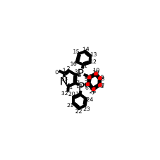 Cc1cc(P(c2ccccc2)c2ccccc2)c(P(c2ccccc2)c2ccccc2)c(C)n1